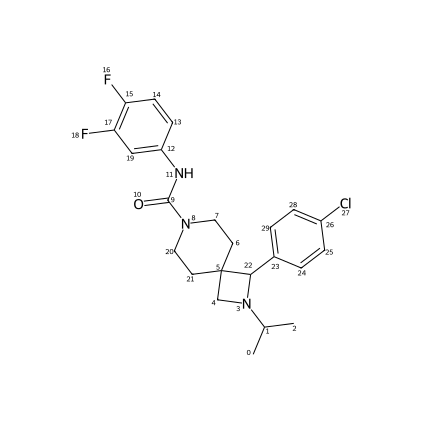 CC(C)N1CC2(CCN(C(=O)Nc3ccc(F)c(F)c3)CC2)C1c1ccc(Cl)cc1